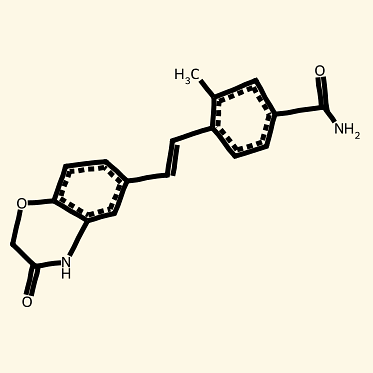 Cc1cc(C(N)=O)ccc1/C=C/c1ccc2c(c1)NC(=O)CO2